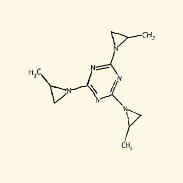 CC1CN1c1nc(N2CC2C)nc(N2CC2C)n1